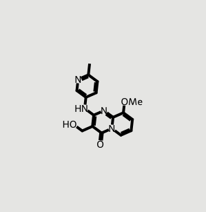 COc1cccn2c(=O)c(CO)c(Nc3ccc(C)nc3)nc12